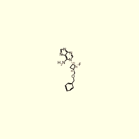 Nc1c2ncnc-2ncn1[C@H]1C[C@H](COCc2ccccc2)[C@H]1F